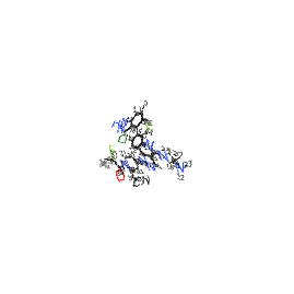 Cc1cc2[nH]ncc2c(-c2c(Cl)cc3c(nc(N4CC(C)(N(C)C)C4)c4cnn([C@H]5CCN(C(=O)C(C)F)[C@H](CC#N)C5)c43)c2F)c1C